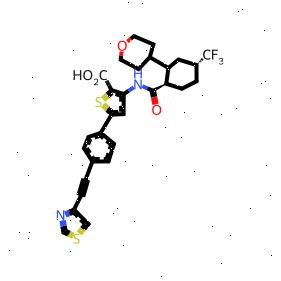 O=C(O)c1sc(-c2ccc(C#Cc3cscn3)cc2)cc1NC(=O)[C@@H]1CC[C@@H](C(F)(F)F)CC1C1CCOCC1